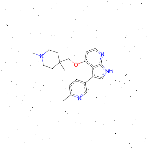 Cc1ccc(-c2c[nH]c3nccc(OCC4(C)CCN(C)CC4)c23)cn1